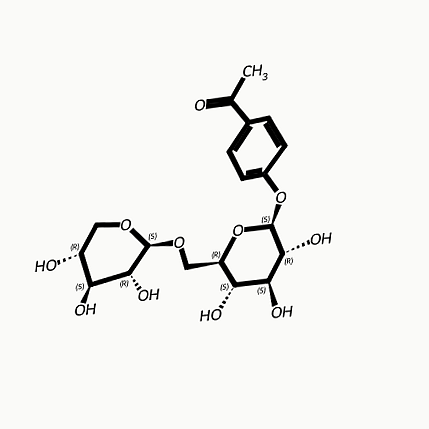 CC(=O)c1ccc(O[C@@H]2O[C@H](CO[C@@H]3OC[C@@H](O)[C@H](O)[C@H]3O)[C@@H](O)[C@H](O)[C@H]2O)cc1